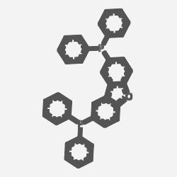 c1ccc(P(c2ccccc2)c2ccc3oc4ccc(P(c5ccccc5)c5ccccc5)cc4c3c2)cc1